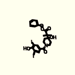 CC(C)(C(=O)OOc1ccccc1)C1(O)CCN(C(=O)c2cc(I)c(O)c(I)c2)CC1